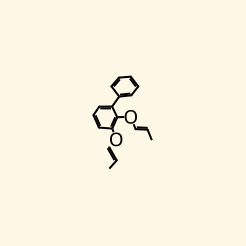 CC=COc1cccc(-c2ccccc2)c1OC=CC